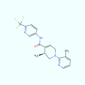 Cc1cccnc1N1CC=C(C(=O)Nc2ccc(C(F)(F)F)nc2)[C@H](C)C1